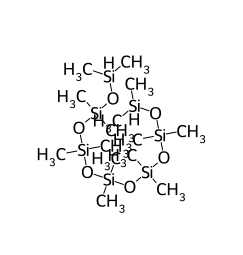 C[SiH](C)O[Si](C)(C)O[Si](C)(C)O[Si](C)(C)O[Si](C)(C)O[Si](C)(C)O[SiH](C)C